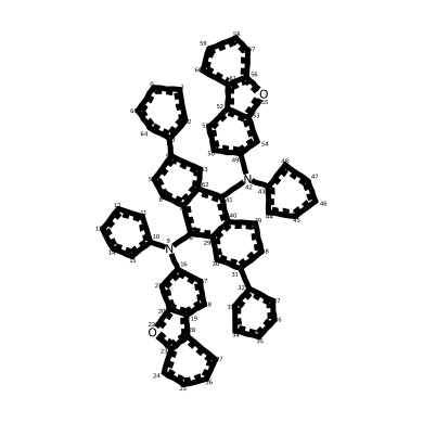 c1ccc(-c2ccc3c(N(c4ccccc4)c4ccc5c(c4)oc4ccccc45)c4cc(-c5ccccc5)ccc4c(N(c4ccccc4)c4ccc5c(c4)oc4ccccc45)c3c2)cc1